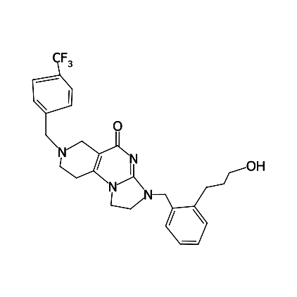 O=c1nc2n(c3c1CN(Cc1ccc(C(F)(F)F)cc1)CC3)CCN2Cc1ccccc1CCCO